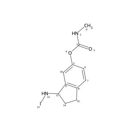 CNC(=O)Oc1ccc2c(c1)C(NI)CC2